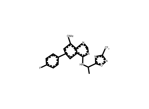 COc1cc(-c2ccc(F)cc2)cc2c(NC(C)c3nc(C(F)(F)F)no3)ncnc12